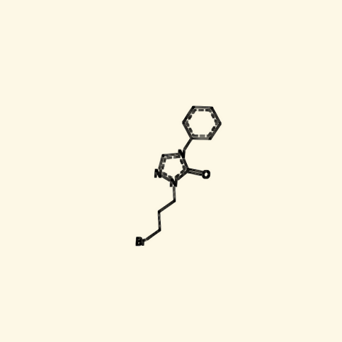 O=c1n(-c2ccccc2)cnn1CCCBr